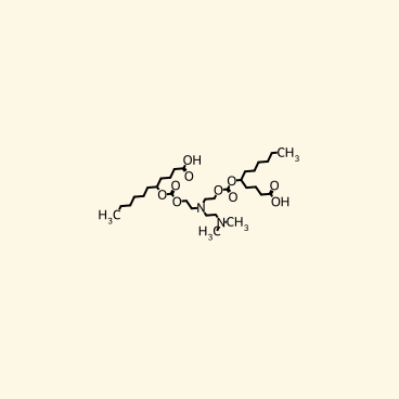 CCCCCCC(CCCC(=O)O)OC(=O)OCCN(CCOC(=O)OC(CCCCCC)CCCC(=O)O)CCN(C)C